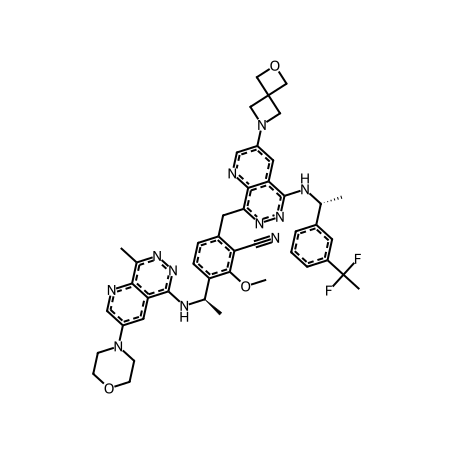 COc1c([C@@H](C)Nc2nnc(C)c3ncc(N4CCOCC4)cc23)ccc(Cc2nnc(N[C@H](C)c3cccc(C(C)(F)F)c3)c3cc(N4CC5(COC5)C4)cnc23)c1C#N